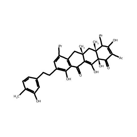 CC(=O)C1=C(O)C(C(C)C)[C@@]2(C)C[C@@]3(C)Cc4c(C(C)C)cc(CCc5ccc(C)c(O)c5)c(O)c4C(=O)C3=C(O)[C@@]2(O)C1=O